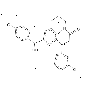 O=C1CC(c2cccc(Cl)c2)c2cc(C(O)c3ccc(Cl)cc3)cc3c2N1CCC3